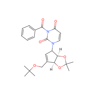 CC(C)(C)OCC1=CC(n2ccc(=O)n(C(=O)c3ccccc3)c2=O)[C@H]2OC(C)(C)O[C@@H]12